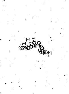 CO[C@H]1CN(c2cccc(-c3cc(C)ccc3OCc3cc(C)c4c(c3)CCN(C3CCOCC3)C4)n2)CC[C@H]1C(=O)O